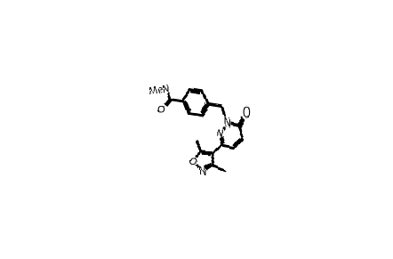 CNC(=O)c1ccc(Cn2nc(-c3c(C)noc3C)ccc2=O)cc1